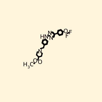 CCOC(=O)C1CCN(CCc2ccc(Nc3ncc(-c4ccc(OC(F)F)cc4)cn3)cc2)CC1